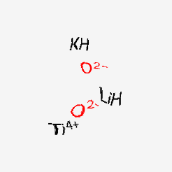 [KH].[LiH].[O-2].[O-2].[Ti+4]